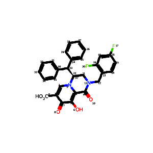 O=C(O)c1cn2c(c(O)c1=O)C(=O)N(Cc1ccc(F)cc1F)C[C@@H]2C(c1ccccc1)c1ccccc1